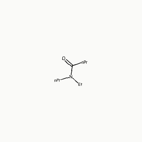 [CH2]CCN(CC)C(=O)CCC